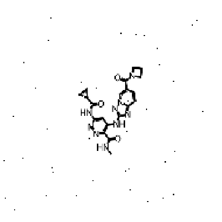 CNC(=O)c1nnc(NC(=O)C2CC2)cc1Nc1nc2ccc(C(=O)N3CCC3)cn2n1